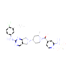 COc1cc(Nc2ncc3c(n2)CN([C@@H]2CCN(C(=O)c4ccnc(NS(C)(=O)=O)c4)[C@H](C)C2)C3)ccc1Cl